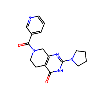 O=C(c1cccnc1)N1CCc2c(nc(N3CCCC3)[nH]c2=O)C1